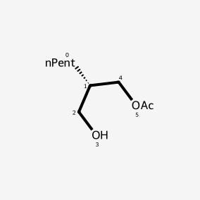 CCCCC[C@@H](CO)COC(C)=O